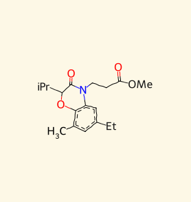 CCc1cc(C)c2c(c1)N(CCC(=O)OC)C(=O)C(C(C)C)O2